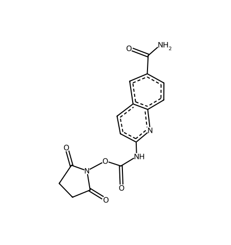 NC(=O)c1ccc2nc(NC(=O)ON3C(=O)CCC3=O)ccc2c1